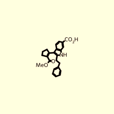 COC(=O)C1=C(c2c(CCc3ccccc3)[nH]c3cc(C(=O)O)ccc23)CCC1